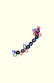 N#Cc1ccc(O[C@H]2CC[C@H](NC(=O)c3ccc(N4CCC(C5CCN(c6ccc7c(c6)C(=O)N(C6CCC(=O)NC6=O)C7=O)CC5)CC4)cc3)CC2)cc1Cl